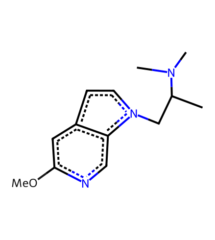 COc1cc2ccn(CC(C)N(C)C)c2cn1